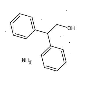 N.OCC(c1ccccc1)c1ccccc1